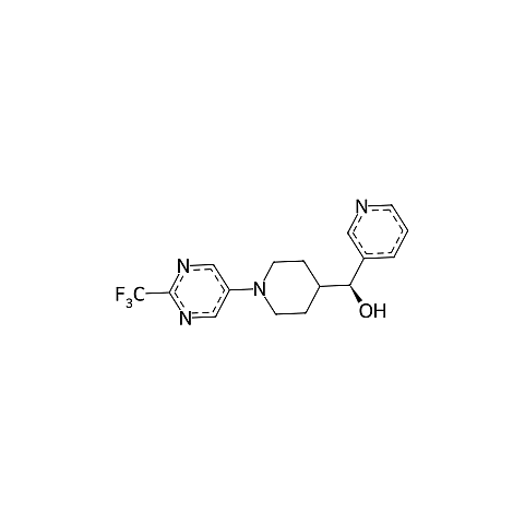 O[C@H](c1cccnc1)C1CCN(c2cnc(C(F)(F)F)nc2)CC1